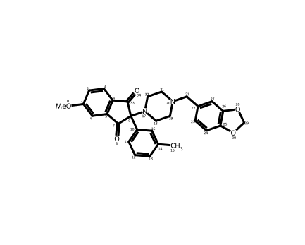 COc1ccc2c(c1)C(=O)C(c1cccc(C)c1)(N1CCN(Cc3ccc4c(c3)OCO4)CC1)C2=O